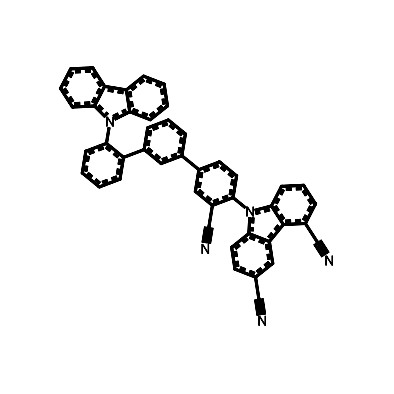 N#Cc1ccc2c(c1)c1c(C#N)cccc1n2-c1ccc(-c2cccc(-c3ccccc3-n3c4ccccc4c4ccccc43)c2)cc1C#N